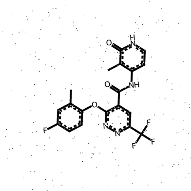 Cc1cc(F)ccc1Oc1nnc(C(F)(F)F)cc1C(=O)Nc1cc[nH]c(=O)c1C